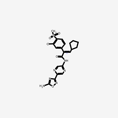 CS(=O)(=O)c1ccc(/C(=C\C2CCCC2)C(=O)Nc2cnc(-c3noc(N)n3)cn2)cc1Cl